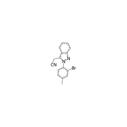 Cc1ccc(-n2nc3ccccc3c2CC#N)c(Br)c1